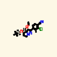 CCO[C@@H]1C(c2ccc(C#N)c(Cl)c2C)=NN2CC[C@H](O[Si](C)(C)C(C)(C)C)[C@@H]12